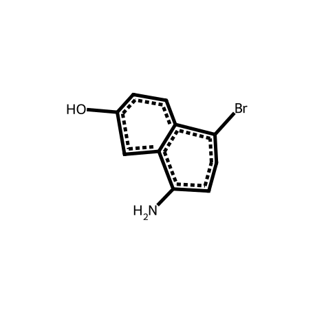 Nc1ccc(Br)c2ccc(O)cc12